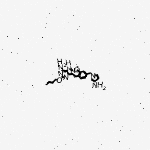 CCCCOc1nc(N)c2[nH]nc(Cc3ccc(CN4CC[C@H](N)C4)cc3OC)c2n1